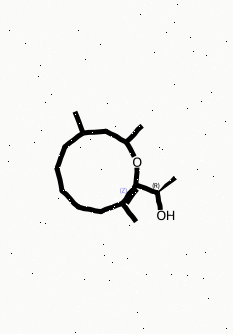 C/C1=C(\[C@@H](C)O)OC(C)CC(C)CCCCC1